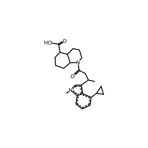 CC(CC(=O)N1CCCC2C(C(=O)O)CCCC21)c1cn(C)c2cccc(C3CC3)c12